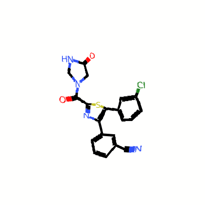 N#Cc1cccc(-c2nc(C(=O)N3CNC(=O)C3)sc2-c2cccc(Cl)c2)c1